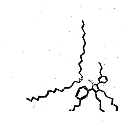 CCCCCCC1=C(c2cccc(CCC)c2)[N+](=[N-])C(c2cccc(CCCC)c2)=C1CCCC.CCCCCCCCCCCCC[CH2][Ni][CH2]CCCCCCCCCCCCC